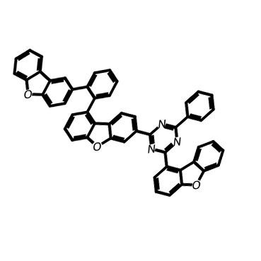 c1ccc(-c2nc(-c3ccc4c(c3)oc3cccc(-c5ccccc5-c5ccc6oc7ccccc7c6c5)c34)nc(-c3cccc4oc5ccccc5c34)n2)cc1